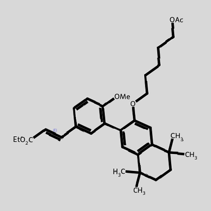 CCOC(=O)/C=C/c1ccc(OC)c(-c2cc3c(cc2OCCCCCOC(C)=O)C(C)(C)CCC3(C)C)c1